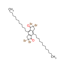 CCCCCCCCCCCCc1c2c(c(CCCCCCCCCCCC)c3c1C(=O)C(Br)(Br)C3)C(=O)C(Br)(Br)C2